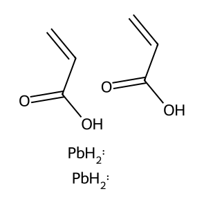 C=CC(=O)O.C=CC(=O)O.[PbH2].[PbH2]